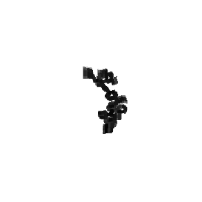 CC(C)(C)OC(=O)N[C@@H](C(=O)N1CCCC[C@H]1C(=O)Nc1ccc(C#Cc2cn(CCO)nc2-c2cc(Cl)ccc2O)cc1)c1ccsc1